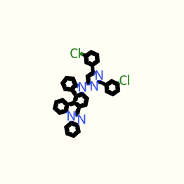 Clc1cccc(-c2cc(-n3c4ccccc4c4c5c6ccccc6n6c7ccccc7nc6c5ccc43)nc(-c3cccc(Cl)c3)n2)c1